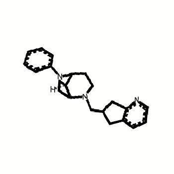 C[C@@H]1C2CN(c3ccccc3)C1CCN2CC1Cc2cccnc2C1